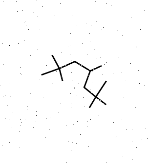 C[C](CC(C)(C)C)CC(C)(C)C